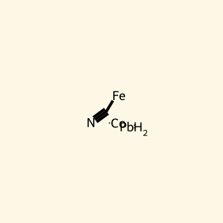 N#[C][Fe].[Co].[PbH2]